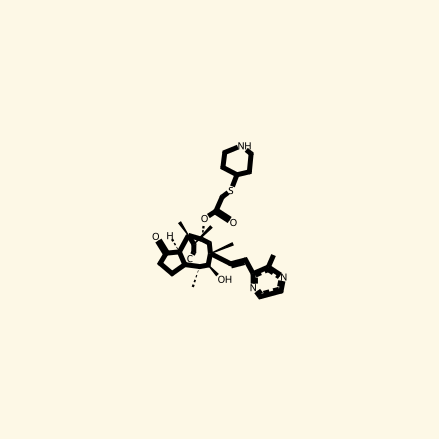 Cc1nccnc1/C=C/[C@@]1(C)C[C@@H](OC(=O)CSC2CCNCC2)[C@]2(C)[C@H](C)CC[C@]3(CCC(=O)[C@H]32)[C@@H](C)[C@@H]1O